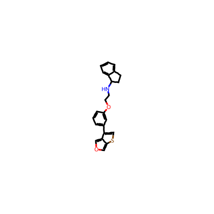 c1cc(OCCNC2CCc3ccccc32)cc(-c2csc3cocc23)c1